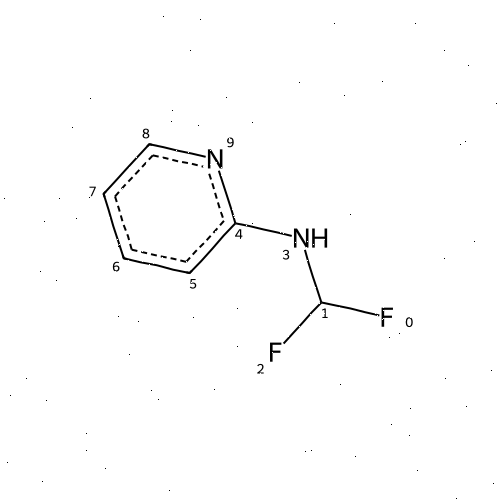 FC(F)Nc1ccccn1